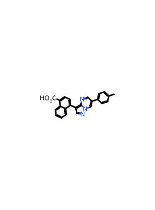 Cc1ccc(-c2cnc3c(-c4ccc(C(=O)O)c5ccccc45)cnn3c2)cc1